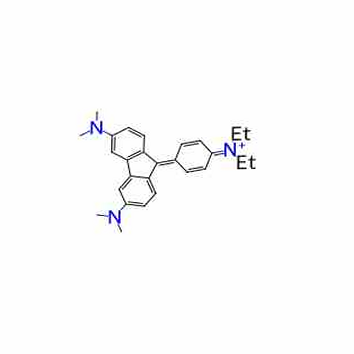 CC[N+](CC)=C1C=CC(=C2c3ccc(N(C)C)cc3-c3cc(N(C)C)ccc32)C=C1